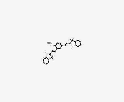 C=COc1ccc(/C=C/C2=[N+](C)c3ccccc3C2(C)C)cc1/C=C/C1=[N+](C)c2ccccc2C1(C)C